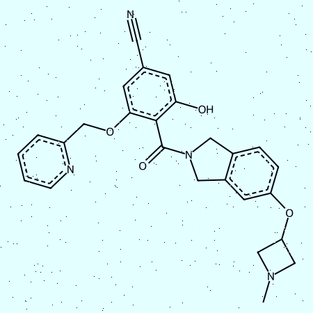 CN1CC(Oc2ccc3c(c2)CN(C(=O)c2c(O)cc(C#N)cc2OCc2ccccn2)C3)C1